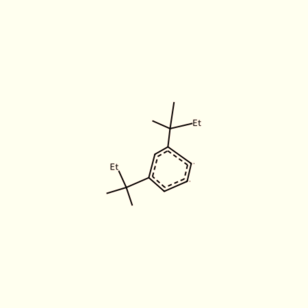 CCC(C)(C)c1[c][c]cc(C(C)(C)CC)c1